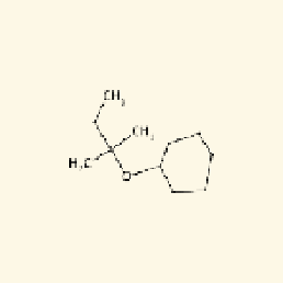 CCC(C)(C)OC1CCCCC1